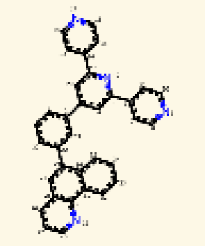 c1cc(-c2cc(-c3ccncc3)nc(-c3ccncc3)c2)cc(-c2cc3cccnc3c3ccccc23)c1